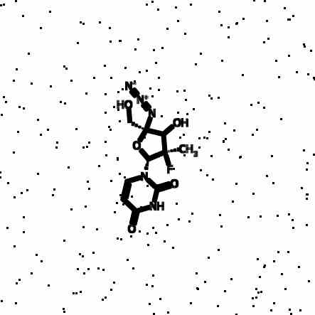 C[C@@]1(F)C(O)[C@](CO)(N=[N+]=[N-])O[C@H]1n1ccc(=O)[nH]c1=O